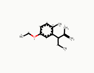 C=C(C)C(CC#N)c1cc(OCC#N)ccc1C#N